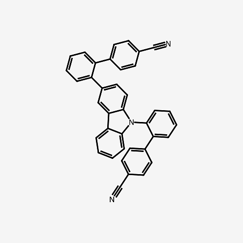 N#Cc1ccc(-c2ccccc2-c2ccc3c(c2)c2ccccc2n3-c2ccccc2-c2ccc(C#N)cc2)cc1